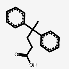 CC(CCC(=O)O)(c1ccccc1)c1ccccc1